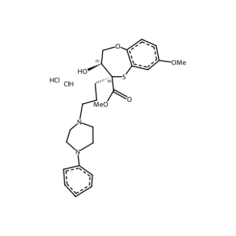 COC(=O)[C@]1(CCCN2CCN(c3ccccc3)CC2)Sc2cc(OC)ccc2OC[C@@H]1O.Cl.Cl